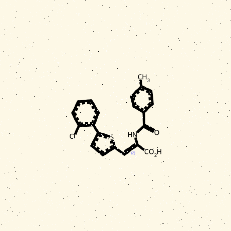 Cc1ccc(C(=O)N/C(=C\c2ccc(-c3ccccc3Cl)s2)C(=O)O)cc1